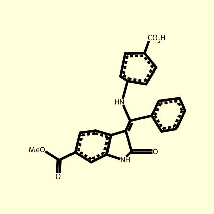 COC(=O)c1ccc2c(c1)NC(=O)C2=C(Nc1ccc(C(=O)O)cc1)c1ccccc1